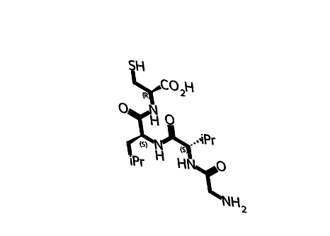 CC(C)C[C@H](NC(=O)[C@@H](NC(=O)CN)C(C)C)C(=O)N[C@@H](CS)C(=O)O